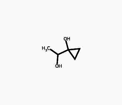 C[C](O)C1(O)CC1